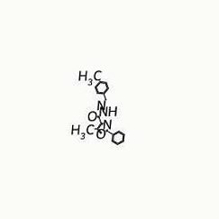 Cc1ccc(C=NNC(=O)c2nc(-c3ccccc3)oc2C)cc1